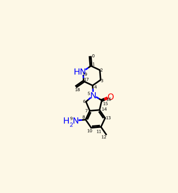 C=C1CCC(N2Cc3c(N)cc(C)cc3C2=O)C(=C)N1